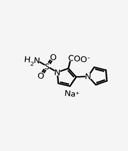 NS(=O)(=O)n1ccc(-n2cccc2)c1C(=O)[O-].[Na+]